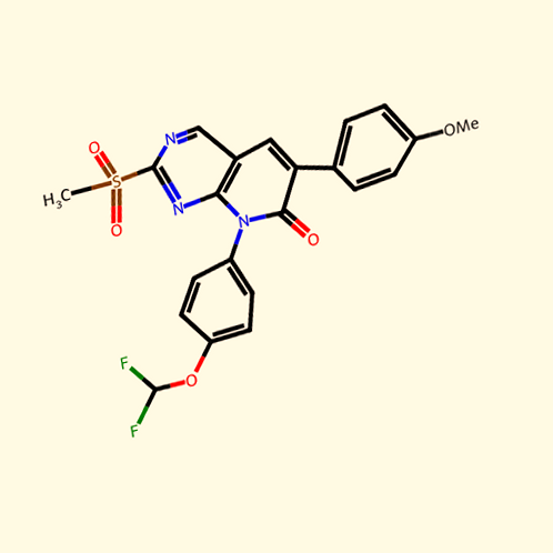 COc1ccc(-c2cc3cnc(S(C)(=O)=O)nc3n(-c3ccc(OC(F)F)cc3)c2=O)cc1